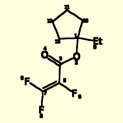 CCC1(OC(=O)C(F)=C(F)F)CCCC1